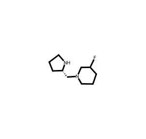 FC1CCCN(C[C@@H]2CCCN2)C1